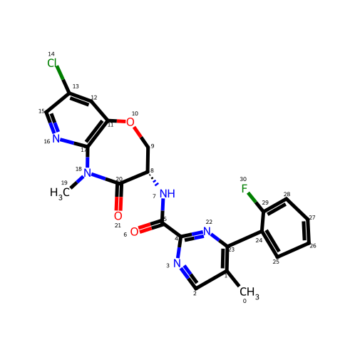 Cc1cnc(C(=O)N[C@H]2COc3cc(Cl)cnc3N(C)C2=O)nc1-c1ccccc1F